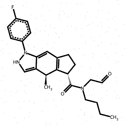 CCCCN(CC=O)C(=O)[C@H]1CCC2=C1[C@@H](C)C1=CNN(c3ccc(F)cc3)C1=C2